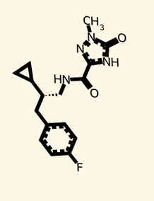 Cn1nc(C(=O)NC[C@H](Cc2ccc(F)cc2)C2CC2)[nH]c1=O